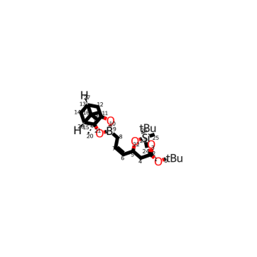 CC(C)(C)OC(=O)CC(/C=C\CB1OC2C[C@@H]3C[C@@H](C3(C)C)[C@]2(C)O1)O[Si](C)(C)C(C)(C)C